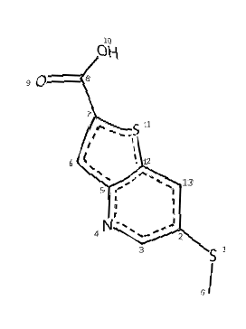 CSc1cnc2cc(C(=O)O)sc2c1